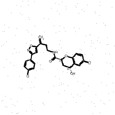 C=C(CCNC(=O)[C@@H]1C[C@@H](O)c2cc(Cl)ccc2O1)c1cc(-c2ccc(Cl)cc2)no1